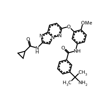 COc1ccc(NC(=O)c2cccc(C(C)(C)N)c2)cc1Oc1ccc2nc(NC(=O)C3CC3)cn2n1